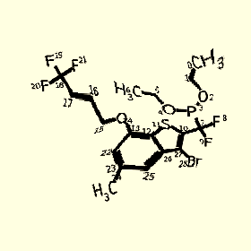 CCOP(OCC)C(F)(F)c1sc2c(OCCCC(F)(F)F)cc(C)cc2c1Br